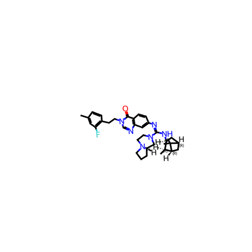 Cc1ccc(CCn2cnc3cc(N=C(N[C@H]4C[C@H]5C[C@H]([C@H]4C)C5(C)C)N4CCN5CCC[C@H]5C4)ccc3c2=O)c(F)c1